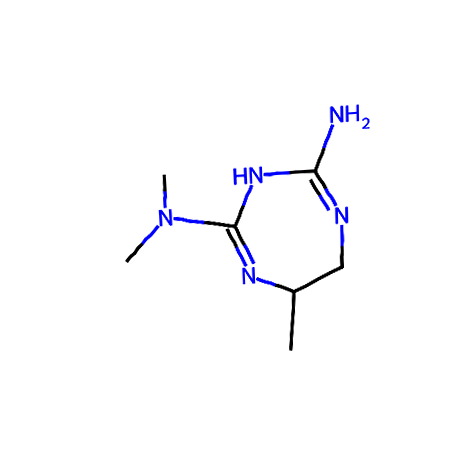 CC1CN=C(N)NC(N(C)C)=N1